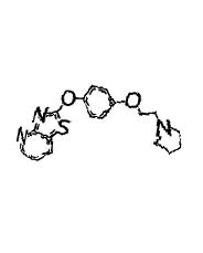 c1cnc2nc(Oc3ccc(OCCN4CCCC4)cc3)sc2c1